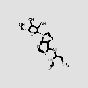 CCC(NC=O)Nc1ncnc2c1ncn2[C@@H]1O[C@H](CO)C(O)C1O